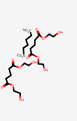 O=C(CCCC(=O)OCCO)OCCO.O=C(CCCC(=O)OCCO)OCCO.O=C(O)CCCCC(=O)O